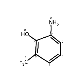 Nc1cc[c]c(C(F)(F)F)c1O